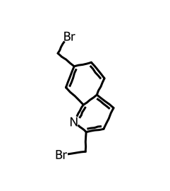 BrCc1ccc2ccc(CBr)nc2c1